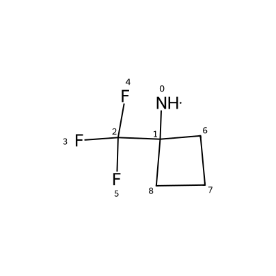 [NH]C1(C(F)(F)F)CCC1